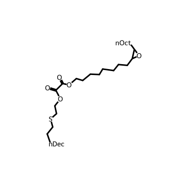 CCCCCCCCCCCCSCCOC(=O)C(=O)OCCCCCCCCC1OC1CCCCCCCC